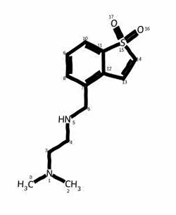 CN(C)CCNCc1cccc2c1C=CS2(=O)=O